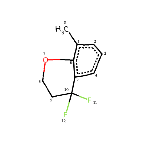 Cc1cccc2c1OCCC2(F)F